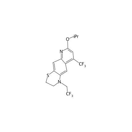 CC(C)Oc1cc(C(F)(F)F)c2cc3c(cc2n1)SCCN3CC(F)(F)F